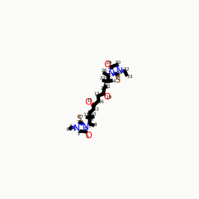 CCN1CC(=O)N(C(C)C(C)(C)CCC(=O)CCC(=O)CCC(C)(C)C(C)N2C(=O)CN(CC)C2=S)C1=S